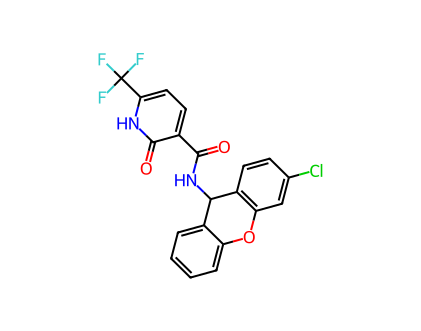 O=C(NC1c2ccccc2Oc2cc(Cl)ccc21)c1ccc(C(F)(F)F)[nH]c1=O